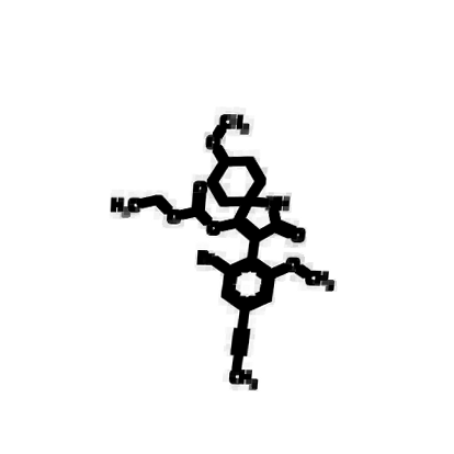 CC#Cc1cc(Br)c(C2=C(OC(=O)OCC)C3(CCC(OC)CC3)NC2=O)c(OC)c1